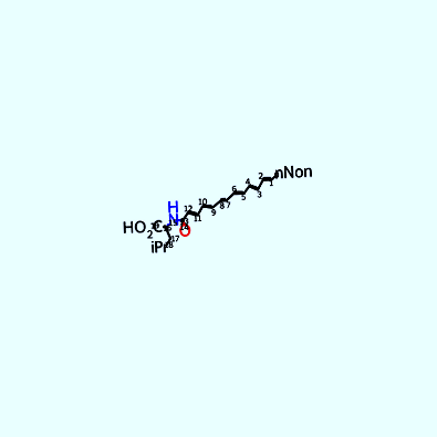 CCCCCCCCCC=CC=CC=CC=CC=CC=CC(=O)NC(CC(C)C)C(=O)O